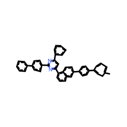 CC1=CC=CC(c2ccc(-c3ccc4c(-c5cc(-c6ccccc6)nc(-c6ccc(-c7ccccc7)cc6)n5)cccc4c3)cc2)=CC1